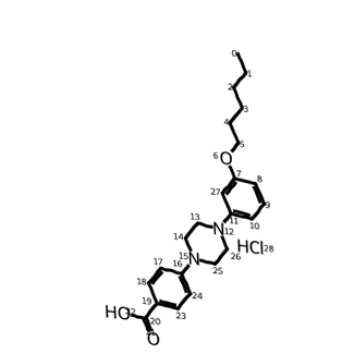 CCCCCCOc1cccc(N2CCN(c3ccc(C(=O)O)cc3)CC2)c1.Cl